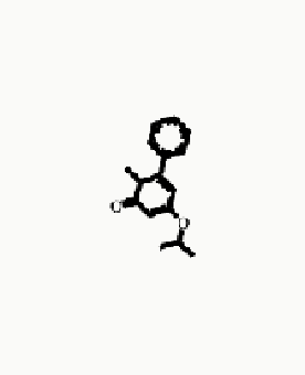 CC(C)OC1=CC(=O)C(C)C(c2ccccc2)=C1